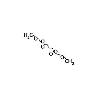 C=COCCOC(=O)CCCC(=O)OCCOC=C